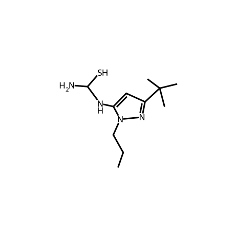 CCCn1nc(C(C)(C)C)cc1NC(N)S